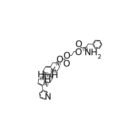 C[C@]12CC[C@H](OC(=O)OCCOC(=O)[C@@H](N)Cc3ccccc3)CC1=CC[C@@H]1[C@@H]2CC[C@]2(C)C(c3cccnc3)=CC[C@@H]12